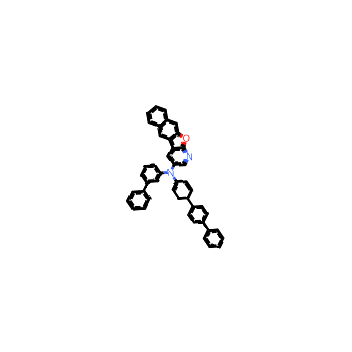 C1=CC(c2ccc(-c3ccccc3)cc2)CC=C1N(c1cccc(-c2ccccc2)c1)c1cnc2oc3cc4ccccc4cc3c2c1